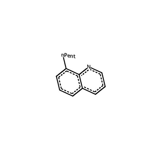 [CH2]CCCCc1cccc2cccnc12